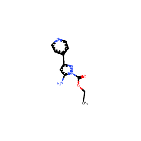 CCOC(=O)n1nc(-c2ccncc2)cc1N